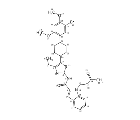 CCc1nc(NC(=O)c2cc3ccccc3n2COC(C)=O)sc1C1CCC(c2cc(Br)c(OC)cc2OC)CC1